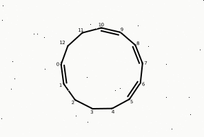 [C]1=CCCCC=CC=CC=CCC1